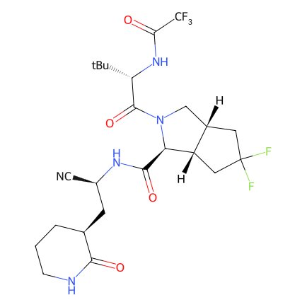 CC(C)(C)[C@H](NC(=O)C(F)(F)F)C(=O)N1C[C@@H]2CC(F)(F)C[C@@H]2[C@H]1C(=O)N[C@H](C#N)C[C@@H]1CCCNC1=O